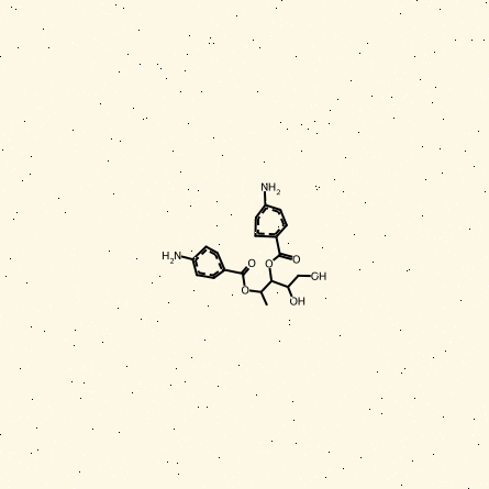 CC(OC(=O)c1ccc(N)cc1)C(OC(=O)c1ccc(N)cc1)C(O)CO